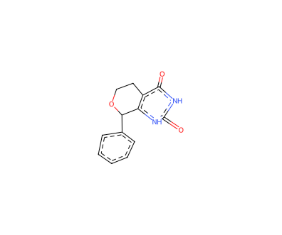 O=c1[nH]c2c(c(=O)[nH]1)CCOC2c1ccccc1